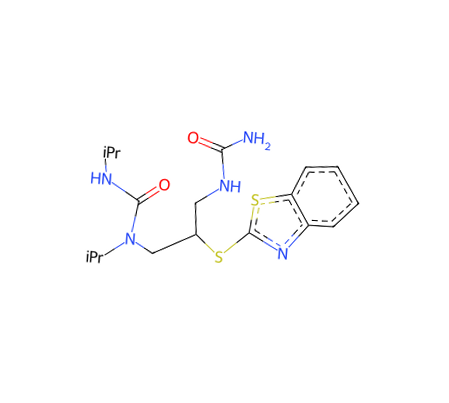 CC(C)NC(=O)N(CC(CNC(N)=O)Sc1nc2ccccc2s1)C(C)C